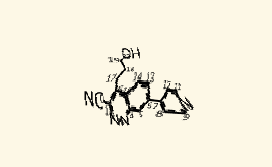 N#Cc1nnc2cc(-c3ccncc3)ccc2c1CCCO